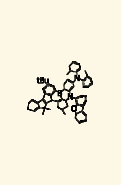 Cc1ccccc1N(C1=CCC2B3C4=C(CC(C)CC4N(c4cccc5c4OC4CC=CC=C54)C2=C1)C1C2=C(C4=CCCC=C4C2(C)C)c2cc(C(C)(C)C)cc3c21)C1=CC=CCC1C